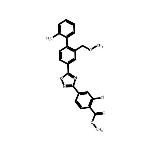 COCc1cc(-c2nc(-c3ccc(C(=O)OC)c(Cl)c3)no2)ccc1-c1ccccc1C